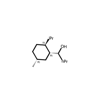 CCCC(O)[C@@H]1C[C@H](C)CC[C@H]1C(C)C